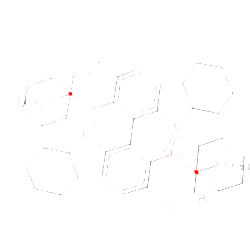 CCOC(=O)C(C)Oc1c(Cl)ccc(P(=O)(C2CCCCC2)C2CCCCC2)c1-c1c(P(=O)(C2CCCCC2)C2CCCCC2)ccc(Cl)c1OC(C)C(=O)OCC